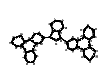 c1ccc2c(-c3ccc4c5ccccc5c5ccccc5c4c3)sc(-c3ccc4c5ccccc5c5ccccc5c4c3)c2c1